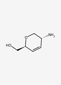 N[C@@H]1C=C[C@@H](CO)OC1